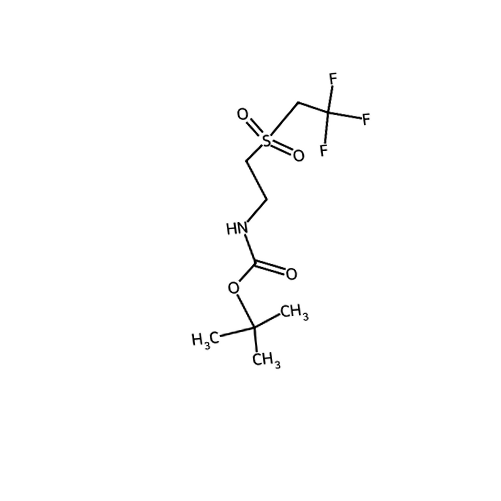 CC(C)(C)OC(=O)NCCS(=O)(=O)CC(F)(F)F